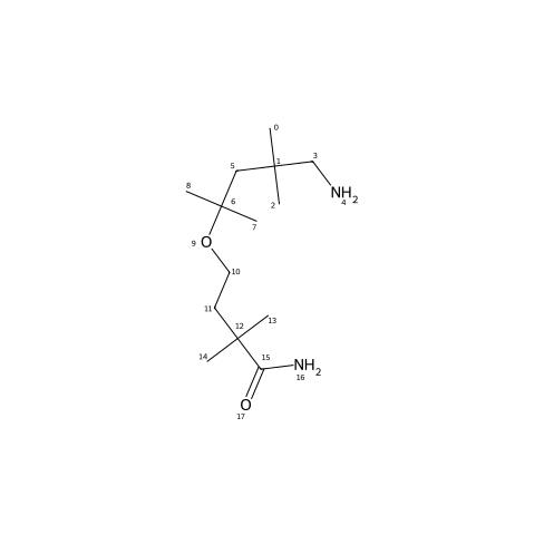 CC(C)(CN)CC(C)(C)OCCC(C)(C)C(N)=O